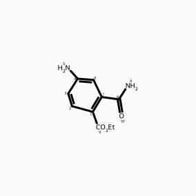 CCOC(=O)c1ccc(N)cc1C(N)=O